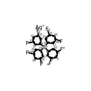 Fc1cc(F)cc([B-](c2cc(F)cc(F)c2)(c2cc(F)cc(F)c2)c2cc(F)cc(F)c2)c1.[Ag+]